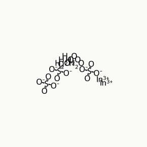 O.O.O.O.O.O=S(=O)([O-])[O-].O=S(=O)([O-])[O-].O=S(=O)([O-])[O-].[In+3].[In+3]